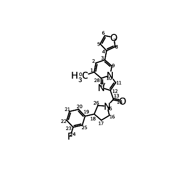 Cc1cc(-c2ccoc2)cn2cc(C(=O)N3CCC(c4cccc(F)c4)C3)nc12